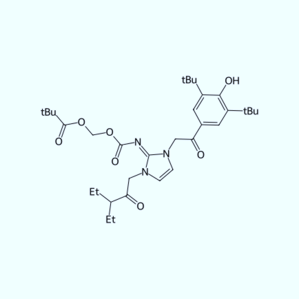 CCC(CC)C(=O)Cn1ccn(CC(=O)c2cc(C(C)(C)C)c(O)c(C(C)(C)C)c2)/c1=N/C(=O)OCOC(=O)C(C)(C)C